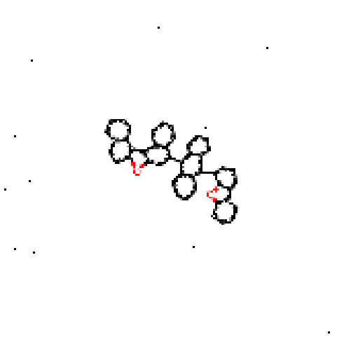 c1ccc2c(c1)ccc1oc3cc(-c4c5ccccc5c(-c5cccc6c5oc5ccccc56)c5ccccc45)c4ccccc4c3c12